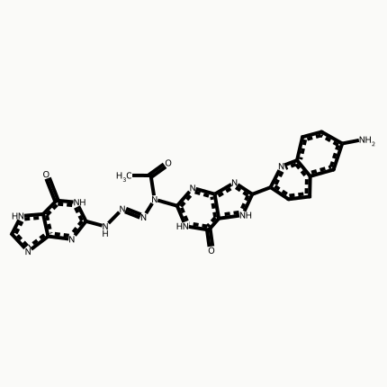 CC(=O)N(N=NNc1nc2nc[nH]c2c(=O)[nH]1)c1nc2nc(-c3ccc4cc(N)ccc4n3)[nH]c2c(=O)[nH]1